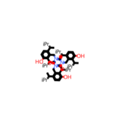 CC(C)C(C)c1ccc(O)c(C(C)C(C)C)c1Cn1c(=O)n(Cc2c(C(C)C(C)C)ccc(O)c2C(C)C(C)C)c(=O)n(Cc2c(C(C)C(C)C)ccc(O)c2C(C)C(C)C)c1=O